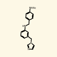 CC(=O)Nc1ccc(CNc2cccc(Cn3ccnc3)c2)cc1